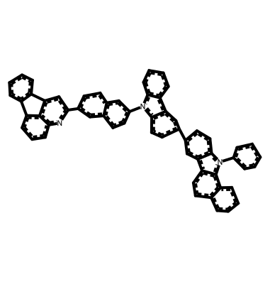 c1ccc(-n2c3ccc(-c4ccc5c(c4)c4ccccc4n5-c4ccc5cc(-c6cc7c8c(cccc8n6)-c6ccccc6-7)ccc5c4)cc3c3ccc4ccccc4c32)cc1